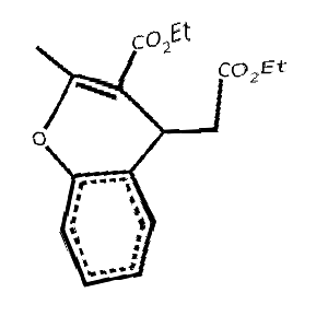 CCOC(=O)CC1C(C(=O)OCC)=C(C)Oc2ccccc21